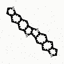 c1cc2cc3cc4sc5c6cc7cc8sccc8cc7cc6sc5c4cc3cc2s1